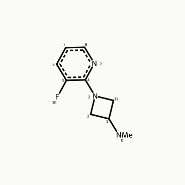 CNC1CN(c2ncccc2F)C1